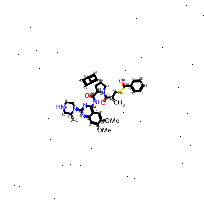 COc1cc2nc(N3CCNCC3C(C)=O)nc(NC(=O)C3CCCN3C(=O)C(C)CSC(=O)c3ccccc3)c2cc1OC.c1cc2ccc1-2